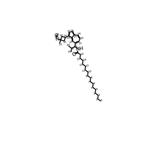 CCCCCCCCCCCCCCCCCC(=O)NC(c1cccc2ccc(C3CC(C)(N=O)C3)c-2c1)C(C)C